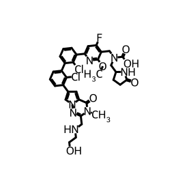 COc1nc(-c2cccc(-c3cccc(-c4cc5c(=O)n(C)c(CNCCO)nn5c4)c3Cl)c2Cl)cc(F)c1CN(CC1CCC(=O)N1)C(=O)O